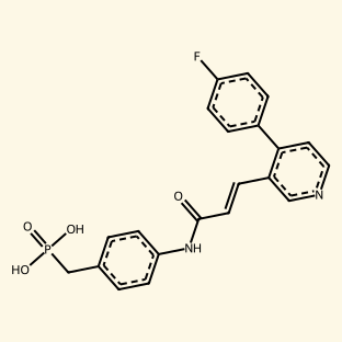 O=C(C=Cc1cnccc1-c1ccc(F)cc1)Nc1ccc(CP(=O)(O)O)cc1